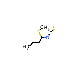 CCCC(N=C=S)SC